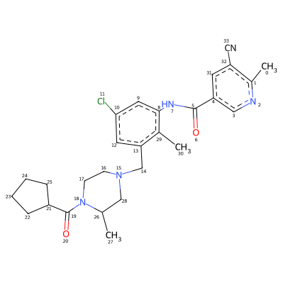 Cc1ncc(C(=O)Nc2cc(Cl)cc(CN3CCN(C(=O)C4CCCC4)C(C)C3)c2C)cc1C#N